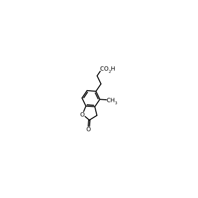 Cc1c(CCC(=O)O)ccc2c1CC(=O)O2